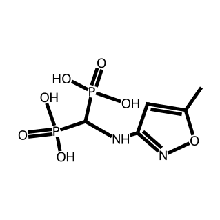 Cc1cc(NC(P(=O)(O)O)P(=O)(O)O)no1